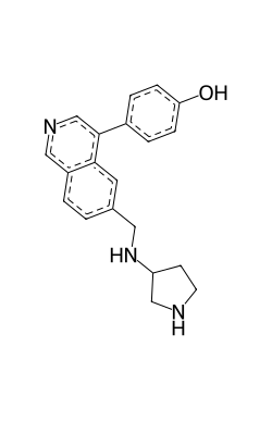 Oc1ccc(-c2cncc3ccc(CNC4CCNC4)cc23)cc1